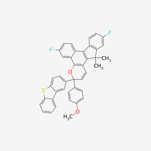 COc1ccc(C2(c3ccc4sc5ccccc5c4c3)C=Cc3c4c(c5ccc(F)cc5c3O2)-c2ccc(F)cc2C4(C)C)cc1